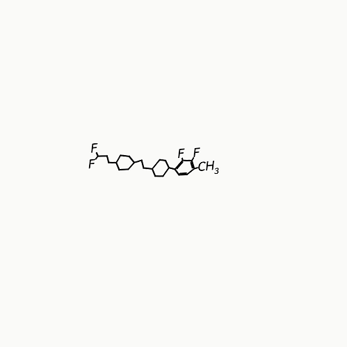 Cc1ccc(C2CCC(CCC3CCC(CCC(F)F)CC3)CC2)c(F)c1F